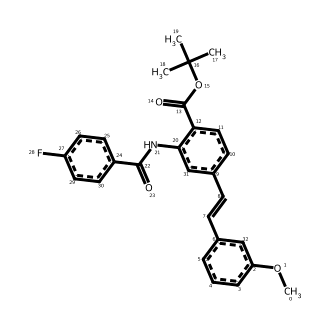 COc1cccc(C=Cc2ccc(C(=O)OC(C)(C)C)c(NC(=O)c3ccc(F)cc3)c2)c1